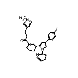 Cn1cc(CCC(=O)N2CCCC(c3cc(-c4ccc(F)cc4)nn3-c3ncccn3)C2)cn1